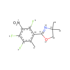 Cc1c(F)c(F)c([N+](=O)[O-])c(F)c1C1=NC(C)(C)CO1